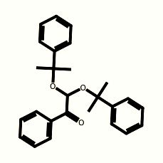 CC(C)(OC(OC(C)(C)c1ccccc1)C(=O)c1ccccc1)c1ccccc1